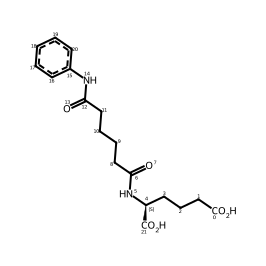 O=C(O)CCC[C@H](NC(=O)CCCCC(=O)Nc1ccccc1)C(=O)O